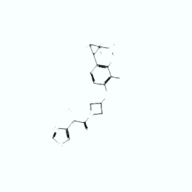 C[C@H]1C2c3ccc(OC4CN(C(=O)[C@@H](N)c5c[nH]cn5)C4)c(C(=O)O)c3OB(O)[C@H]21